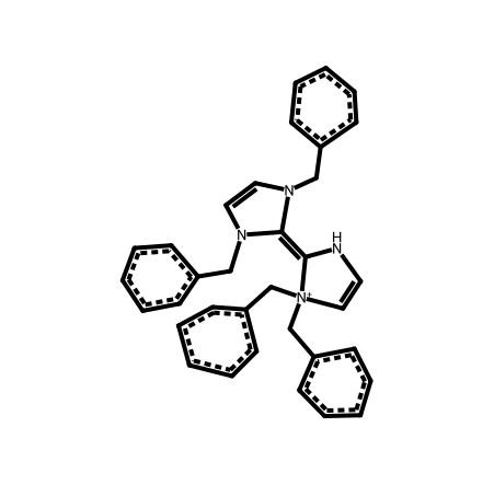 C1=C[N+](Cc2ccccc2)(Cc2ccccc2)C(=C2N(Cc3ccccc3)C=CN2Cc2ccccc2)N1